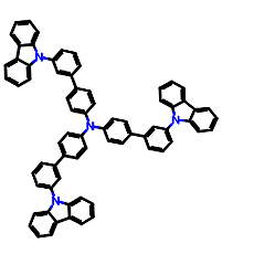 c1cc(-c2ccc(N(c3ccc(-c4cccc(-n5c6ccccc6c6ccccc65)c4)cc3)c3ccc(-c4cccc(-n5c6ccccc6c6ccccc65)c4)cc3)cc2)cc(-n2c3ccccc3c3ccccc32)c1